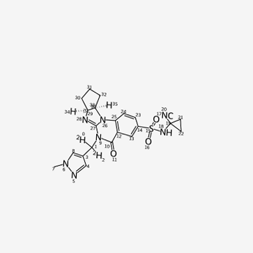 [2H]C([2H])(c1cnn(C)c1)N1C(=O)c2cc(S(=O)(=O)NC3(C#N)CC3)ccc2N2C1=N[C@H]1CCC[C@H]12